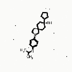 CC(C)Oc1ccc(N2CC[C@]3(CC[C@](O)(C4CCCC4)CC3)C2)cc1